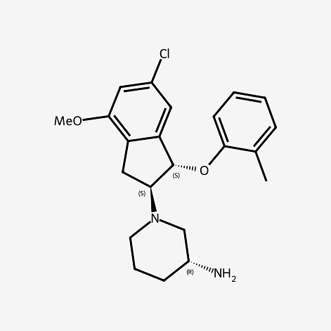 COc1cc(Cl)cc2c1C[C@H](N1CCC[C@@H](N)C1)[C@H]2Oc1ccccc1C